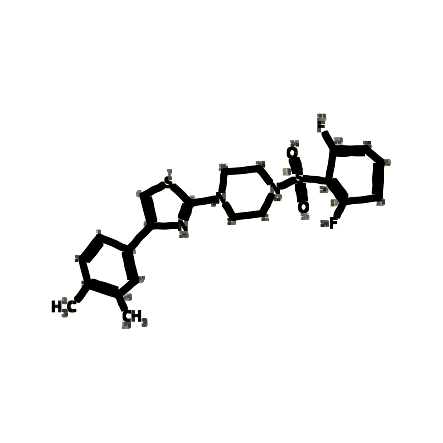 Cc1ccc(-c2csc(N3CCN(S(=O)(=O)c4c(F)cccc4F)CC3)n2)cc1C